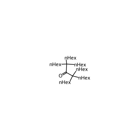 CCCCCCC(CCCCCC)(CCCCCC)C(=O)C(CCCCCC)(CCCCCC)CCCCCC